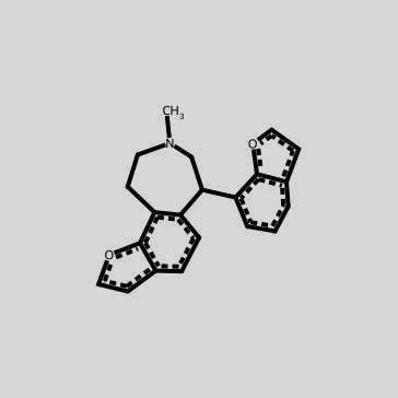 CN1CCc2c(ccc3ccoc23)C(c2cccc3ccoc23)C1